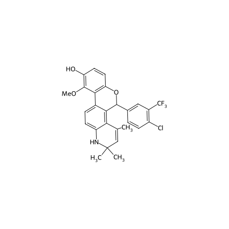 COc1c(O)ccc2c1-c1ccc3c(c1C(c1ccc(Cl)c(C(F)(F)F)c1)O2)C(C)=CC(C)(C)N3